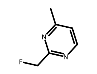 Cc1ccnc(CF)n1